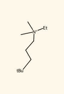 CC[N+](C)(C)CCCC(C)(C)C